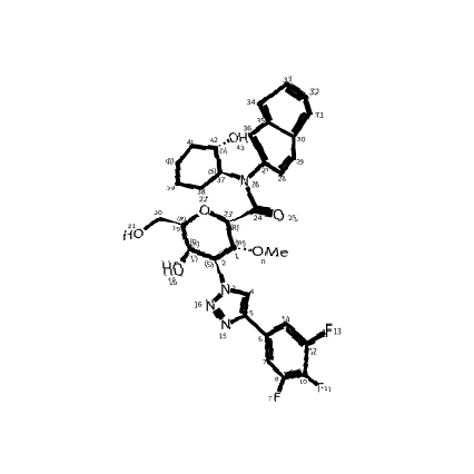 CO[C@@H]1[C@@H](n2cc(-c3cc(F)c(F)c(F)c3)nn2)[C@@H](O)[C@@H](CO)O[C@H]1C(=O)N(c1ccc2ccccc2c1)[C@H]1CCCC[C@@H]1O